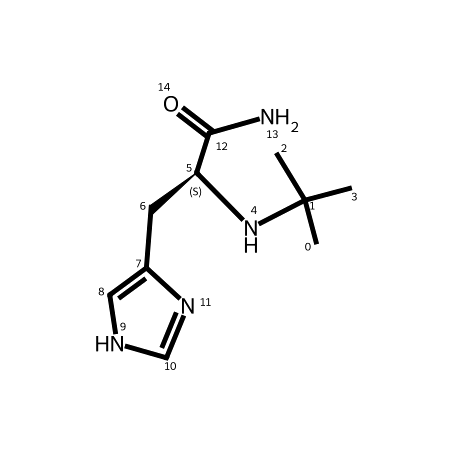 CC(C)(C)N[C@@H](Cc1c[nH]cn1)C(N)=O